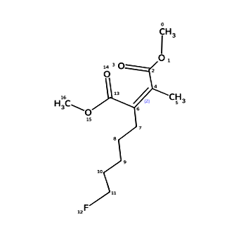 COC(=O)/C(C)=C(/CCCCCF)C(=O)OC